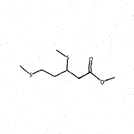 COC(=O)CC(CCSC)SC